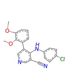 COc1cccc(-c2cncc(C#N)c2Nc2ccc(Cl)cc2)c1OC